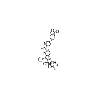 CN(C)C(=O)c1sc2cnc(Nc3ccc(N4CCN5C(=O)OCC5C4)cn3)nc2c1C1CCCC1